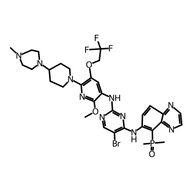 COc1nc(N2CCC(N3CCN(C)CC3)CC2)c(OCC(F)(F)F)cc1Nc1ncc(Br)c(Nc2ccc3nccnc3c2P(C)(C)=O)n1